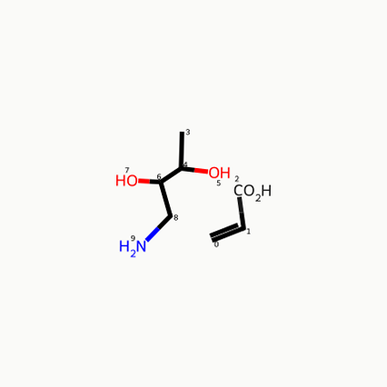 C=CC(=O)O.CC(O)C(O)CN